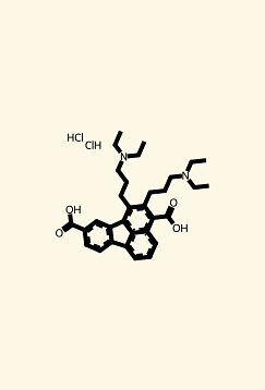 CCN(CC)CCCc1c(CCCN(CC)CC)c2c3c(cccc3c1C(=O)O)-c1ccc(C(=O)O)cc1-2.Cl.Cl